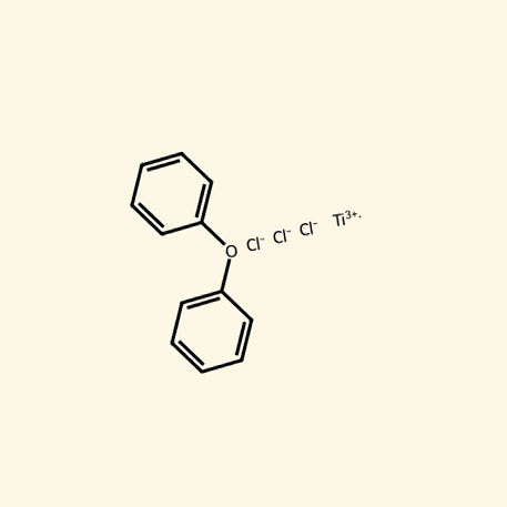 [Cl-].[Cl-].[Cl-].[Ti+3].c1ccc(Oc2ccccc2)cc1